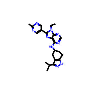 CCn1c(-c2cnc(C)nc2)nc2c(NC3CCc4[nH]nc(C(C)C)c4C3)ncnc21